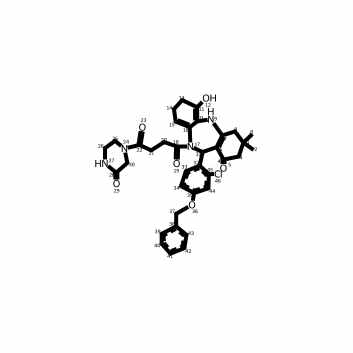 CC1(C)CC(=O)C2=C(C1)NC1=C(O)CCC=C1N(C(=O)CCC(=O)N1CCNC(=O)C1)C2c1ccc(OCc2ccccc2)cc1Cl